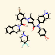 Cc1cc(C(=O)N(c2ccc(O)cc2)c2ccc3[nH]ccc3c2)cn1-c1cc(Br)ccc1C(=O)N1Cc2ccccc2C[C@H]1CN1CCC(F)(F)CC1